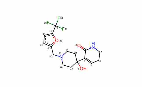 O=C1NCCC=C1C1(O)CCN(Cc2ccc(C(F)(F)F)o2)CC1